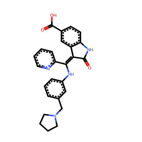 O=C1Nc2ccc(C(=O)O)cc2/C1=C(/Nc1cccc(CN2CCCC2)c1)c1ccccn1